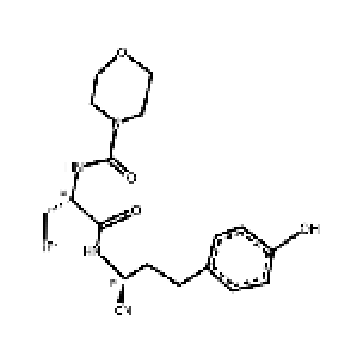 CC(C)C[C@H](NC(=O)N1CCOCC1)C(=O)N[C@H](C#N)CCc1ccc(O)cc1